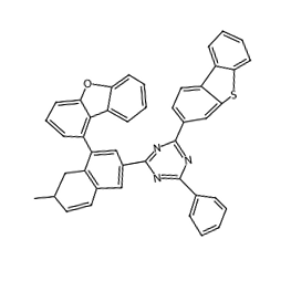 CC1C=Cc2cc(-c3nc(-c4ccccc4)nc(-c4ccc5c(c4)sc4ccccc45)n3)cc(-c3cccc4oc5ccccc5c34)c2C1